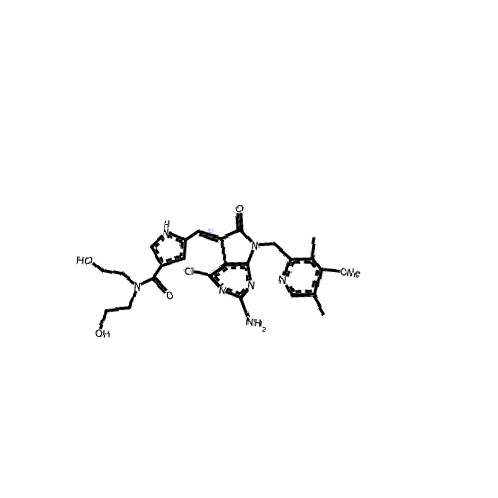 COc1c(C)cnc(CN2C(=O)/C(=C/c3cc(C(=O)N(CCO)CCO)c[nH]3)c3c(Cl)nc(N)nc32)c1C